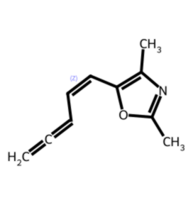 C=C=C/C=C\c1oc(C)nc1C